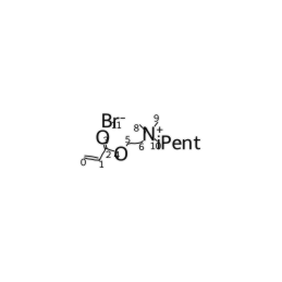 C=CC(=O)OCC[N+](C)(C)C(C)CCC.[Br-]